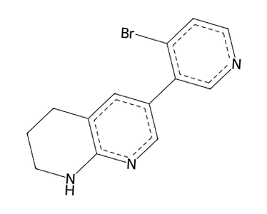 Brc1ccncc1-c1cnc2c(c1)CCCN2